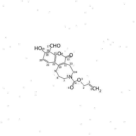 C=CCOC(=O)N1CCCc2c(c(=O)oc3c(C=O)c(O)ccc23)CC1